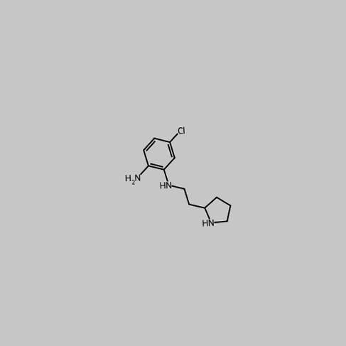 Nc1ccc(Cl)cc1NCCC1CCCN1